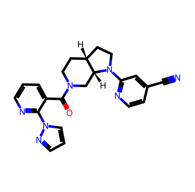 N#Cc1ccnc(N2CC[C@H]3CCN(C(=O)c4cccnc4-n4cccn4)C[C@H]32)c1